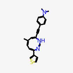 Cc1ccc(-c2ccsc2)nc[nH]c(C#Cc2ccc(N(C)C)cc2)c1